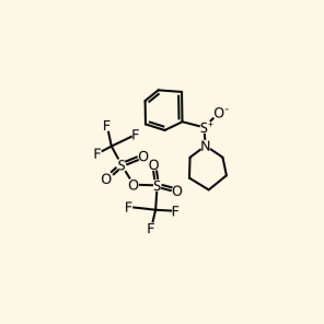 O=S(=O)(OS(=O)(=O)C(F)(F)F)C(F)(F)F.[O-][S+](c1ccccc1)N1CCCCC1